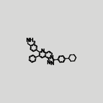 NCc1ccc(-c2nc3ccn4c(-c5ccc(C6CCCCC6)cc5)nnc4c3cc2-c2ccccc2)cc1